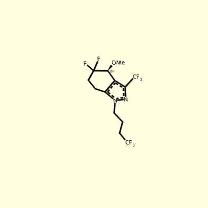 CO[C@H]1c2c(C(F)(F)F)nn(CCCC(F)(F)F)c2CCC1(F)F